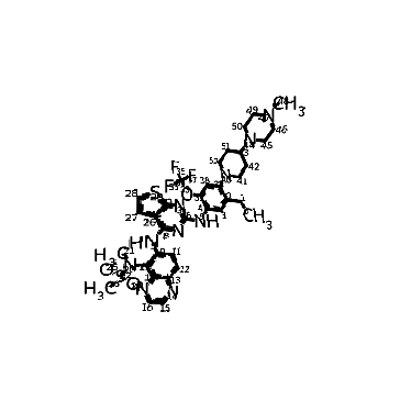 CCc1cc(Nc2nc(Nc3ccc4nccnc4c3N(C)S(C)(=O)=O)c3ccsc3n2)c(OC(F)(F)F)cc1N1CCC(N2CCN(C)CC2)CC1